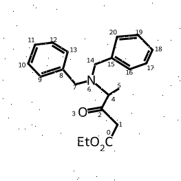 CCOC(=O)CC(=O)C(C)N(Cc1ccccc1)Cc1ccccc1